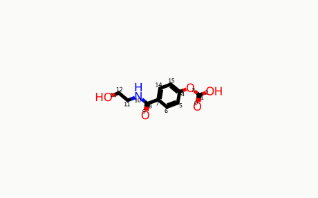 O=C(O)Oc1ccc(C(=O)NCCO)cc1